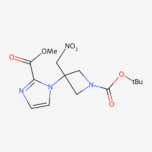 COC(=O)c1nccn1C1(C[N+](=O)[O-])CN(C(=O)OC(C)(C)C)C1